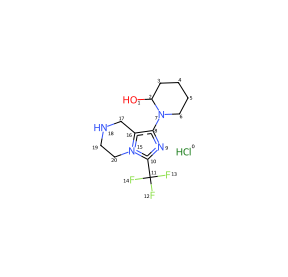 Cl.OC1CCCCN1c1nc(C(F)(F)F)n2c1CNCC2